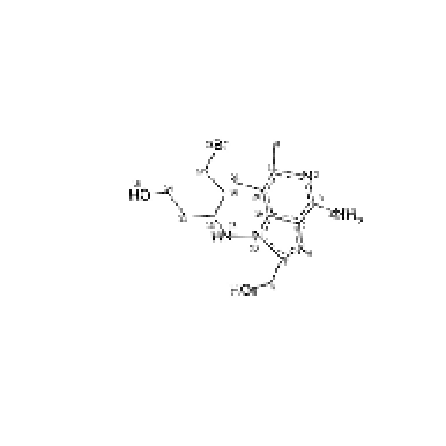 Cc1nc(N)c2nc(CO)n(NC(CCO)CCBr)c2c1C